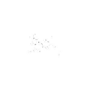 CCCCOC(=O)[C@H](C)OC(=O)[C@@H]1OC(C)(C)O[C@H]1C(=O)O